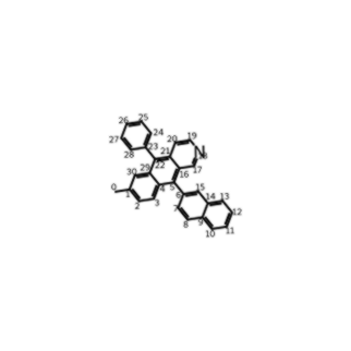 Cc1ccc2c(-c3ccc4ccccc4c3)c3cnccc3c(-c3ccccc3)c2c1